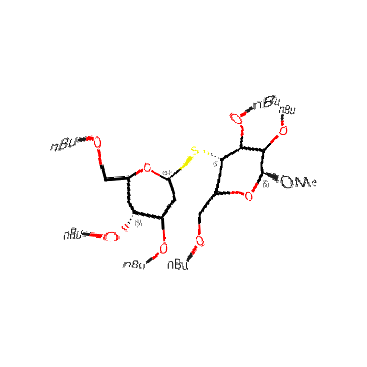 CCCCOCC1O[C@@H](S[C@H]2C(COCCCC)O[C@H](OC)C(OCCCC)C2OCCCC)CC(OCCCC)[C@@H]1OCCCC